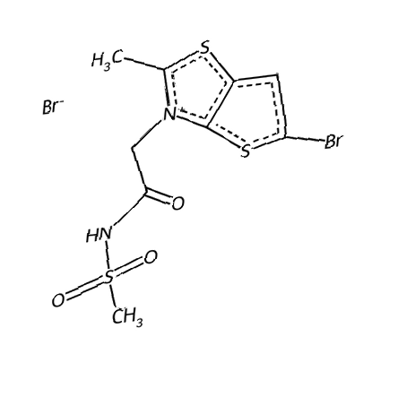 Cc1sc2cc(Br)sc2[n+]1CC(=O)NS(C)(=O)=O.[Br-]